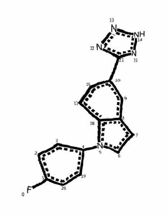 Fc1ccc(-n2ccc3cc(-c4nn[nH]n4)ccc32)cc1